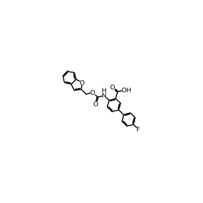 O=C(Nc1ccc(-c2ccc(F)cc2)cc1C(=O)O)OCc1cc2ccccc2o1